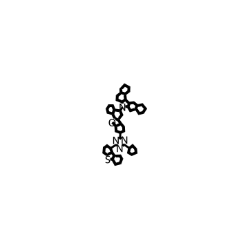 c1ccc(-c2nc(-c3ccc4c(c3)oc3c5ccccc5c(-n5c6cc7ccccc7cc6c6c7ccccc7ccc65)cc43)nc(-c3cccc4sc5ccccc5c34)n2)cc1